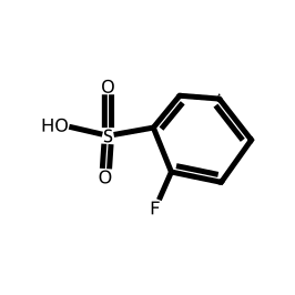 O=S(=O)(O)c1c[c]ccc1F